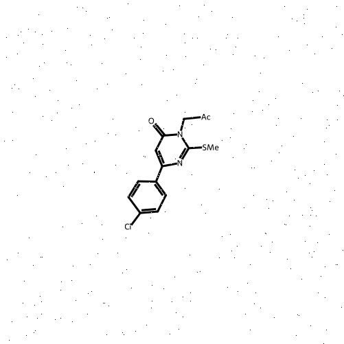 CSc1nc(-c2ccc(Cl)cc2)cc(=O)n1CC(C)=O